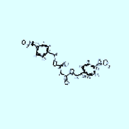 O=C(CC(=O)OCc1ccc([N+](=O)[O-])cc1)OCc1ccc([N+](=O)[O-])cc1